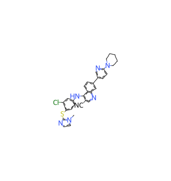 Cn1ccnc1Sc1ccc(Nc2c(C#N)cnc3cc(-c4ccc(N5CCCCC5)nc4)ccc23)cc1Cl